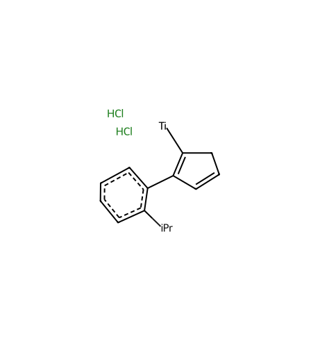 CC(C)c1ccccc1C1=[C]([Ti])CC=C1.Cl.Cl